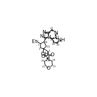 CCC1CC(O)(CS(=O)(=O)N2CCOCC2)CC1c1nnc2cnc3[nH]ccc3n12